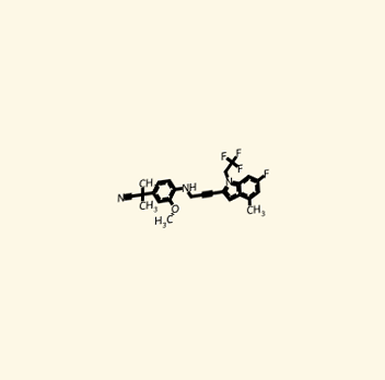 COc1cc(C(C)(C)C#N)ccc1NCC#Cc1cc2c(C)cc(F)cc2n1CC(F)(F)F